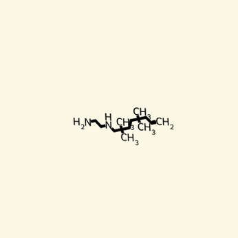 C=CCC(C)(C)CCC(C)(C)CNCCN